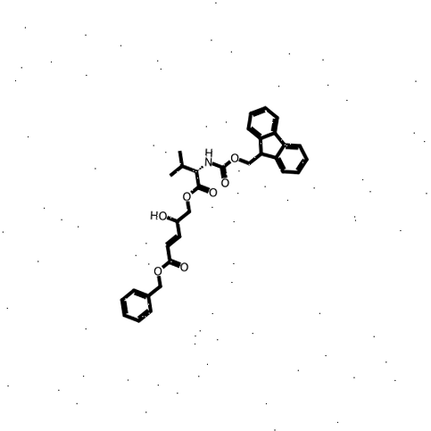 CC(C)[C@H](NC(=O)OCC1c2ccccc2-c2ccccc21)C(=O)OCC(O)C=CC(=O)OCc1ccccc1